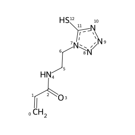 C=CC(=O)NCCn1nnnc1S